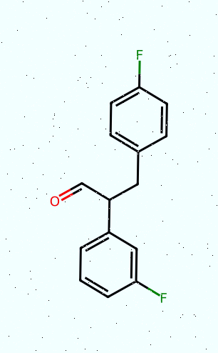 O=CC(Cc1ccc(F)cc1)c1cccc(F)c1